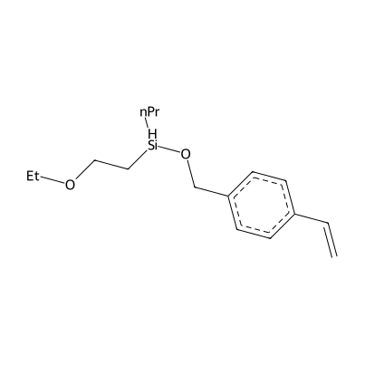 C=Cc1ccc(CO[SiH](CCC)CCOCC)cc1